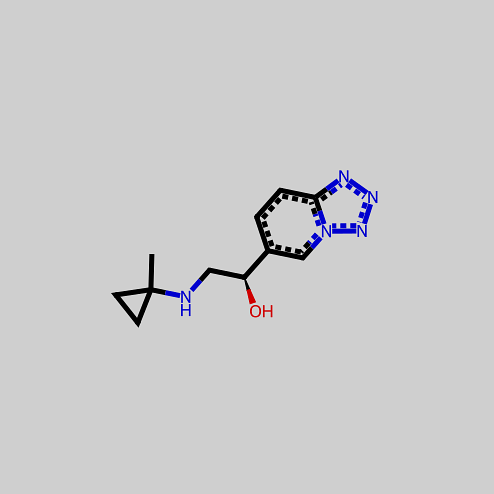 CC1(NC[C@H](O)c2ccc3nnnn3c2)CC1